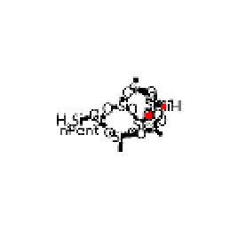 CCCCC[Si]1(O[SiH3])O[Si]2(C)O[Si]3(C)O[SiH](C)O[Si]4(C)O[Si](C)(O3)O[Si](C)(O2)O[Si](C)(O4)O1